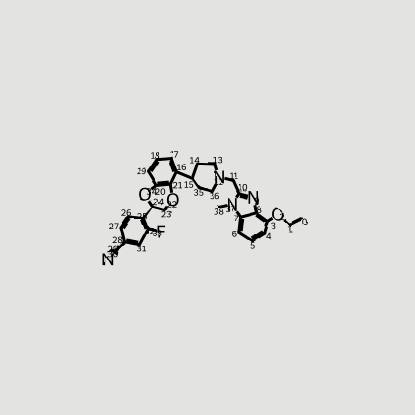 CCOc1cccc2c1nc(CN1CCC(c3cccc4c3OC[C@@H](c3ccc(C#N)cc3F)O4)CC1)n2C